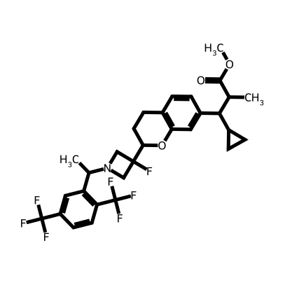 COC(=O)C(C)C(c1ccc2c(c1)OC(C1(F)CN(C(C)c3cc(C(F)(F)F)ccc3C(F)(F)F)C1)CC2)C1CC1